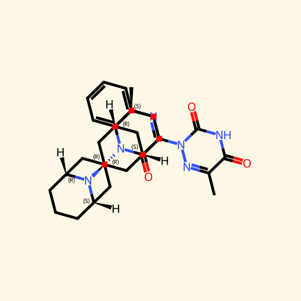 Cc1nn(-c2nc3ccccc3n([C@H]3C[C@H]4CCC[C@@H](C3)N4[C@@H]3C[C@H]4CC[C@H](C)[C@H](C4)C3)c2=O)c(=O)[nH]c1=O